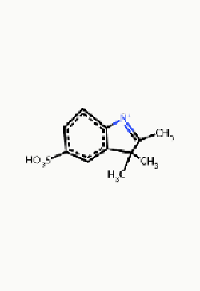 CC1=[N+]c2ccc(S(=O)(=O)O)cc2C1(C)C